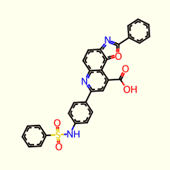 O=C(O)c1cc(-c2ccc(NS(=O)(=O)c3ccccc3)cc2)nc2ccc3nc(-c4ccccc4)oc3c12